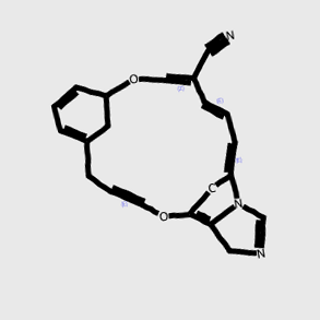 N#CC1=C/OC2C=CC=C(C/C=C/OC3=C4CN=CN4/C(=C/C=C/1)C3)C2